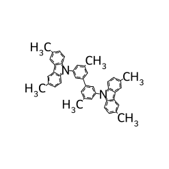 Cc1cc(-c2cc(C)cc(-n3c4ccc(C)cc4c4cc(C)ccc43)c2)cc(-n2c3ccc(C)cc3c3cc(C)ccc32)c1